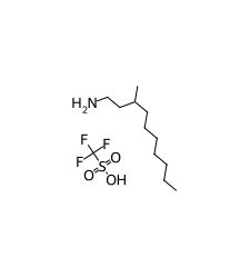 CCCCCCCC(C)CCN.O=S(=O)(O)C(F)(F)F